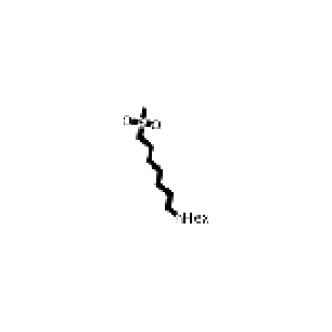 CCCCCCCCCCCCCS(C)(=O)=O